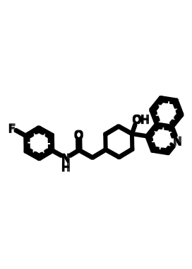 O=C(CC1CCC(O)(c2ccnc3ccccc23)CC1)Nc1ccc(F)cc1